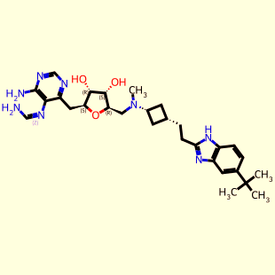 CN(C[C@H]1O[C@@H](Cc2ncnc(N)c2/N=C\N)[C@H](O)[C@@H]1O)[C@H]1C[C@@H](CCc2nc3cc(C(C)(C)C)ccc3[nH]2)C1